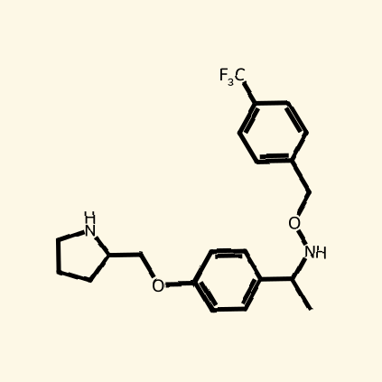 CC(NOCc1ccc(C(F)(F)F)cc1)c1ccc(OCC2CCCN2)cc1